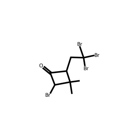 CC1(C)C(Br)C(=O)C1CC(Br)(Br)Br